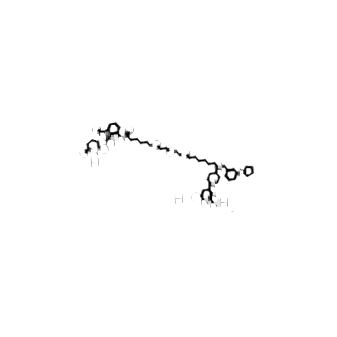 Cc1cc(N2CCC(N(CCCCCCOCCOCCOCCCCCC(=O)Nc3cccc4c3C(=O)N(C3CCC(=O)NC3=O)C4=O)Cc3cccc(N4CCCC4)c3)CC2)nc(N)n1